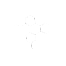 C/C=C(\C(=C/C)c1cccc(OC)c1)c1cccc(P)c1